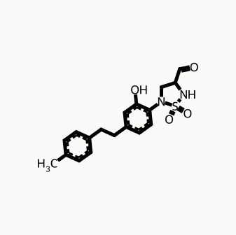 Cc1ccc(CCc2ccc(N3CC(C=O)NS3(=O)=O)c(O)c2)cc1